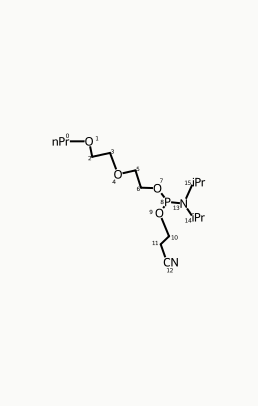 CCCOCCOCCOP(OCCC#N)N(C(C)C)C(C)C